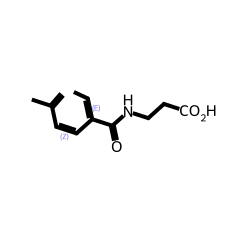 C=C(C)/C=C\C(=C/C)C(=O)NCCC(=O)O